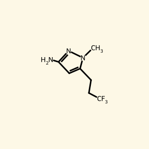 Cn1nc(N)cc1CCC(F)(F)F